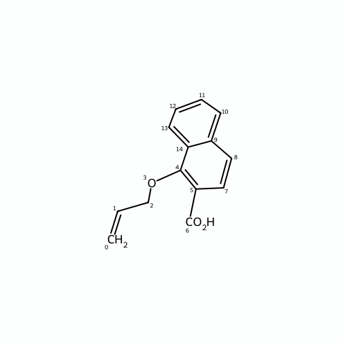 C=CCOc1c(C(=O)O)ccc2ccccc12